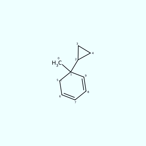 CC1(C2CC2)[CH]C=CC=C1